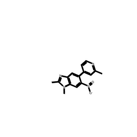 Cc1cc(-c2cc3nc(C)n(C)c3cc2[N+](=O)[O-])ccn1